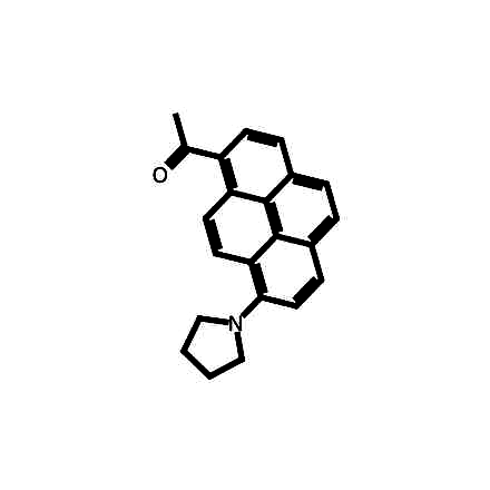 CC(=O)c1ccc2ccc3ccc(N4CCCC4)c4ccc1c2c34